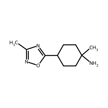 Cc1noc(C2CCC(C)(N)CC2)n1